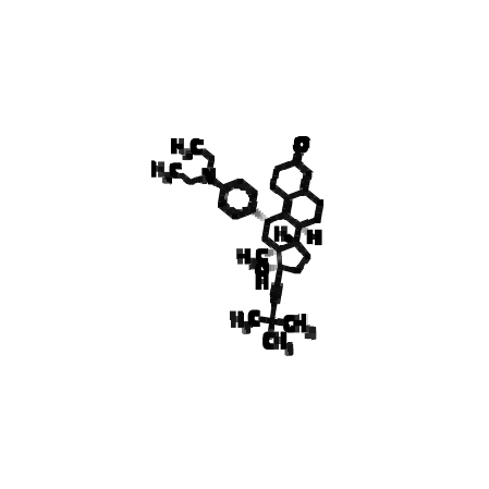 CCN(CC)c1ccc([C@H]2C[C@@]3(C)[C@@H](CC[C@@]3(O)C#CC(C)(C)C)[C@@H]3CCC4=CC(=O)CCC4=C32)cc1